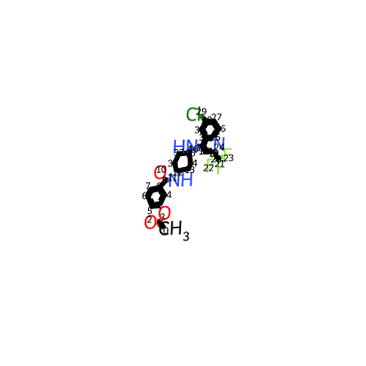 CC(=O)Oc1cccc(C(=O)NC2CCC(Nc3cc(C(F)(F)F)nc4ccc(Cl)cc34)CC2)c1